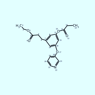 CCOC(=O)CCc1cc(OC(=O)CC)cc(Oc2cccnc2)c1